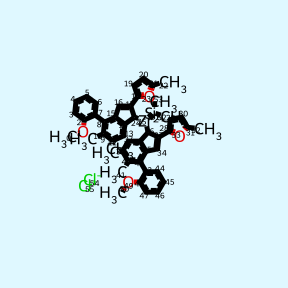 COc1ccccc1-c1c(C)c(C)cc2c1C=C(c1ccc(C)o1)[CH]2[Zr+2]([CH]1C(c2ccc(C)o2)=Cc2c1cc(C)c(C)c2-c1ccccc1OC)=[Si](C)C.[Cl-].[Cl-]